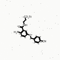 CCOC(=O)CCNC(=O)c1cc(OCc2ccc(C#N)cc2)ccc1N